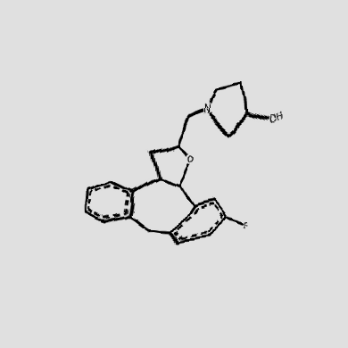 OC1CCN(CC2CC3c4ccccc4Cc4ccc(F)cc4C3O2)C1